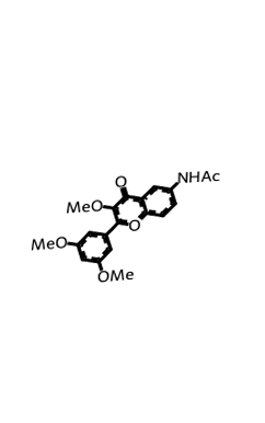 COc1cc(OC)cc(-c2oc3ccc(NC(C)=O)cc3c(=O)c2OC)c1